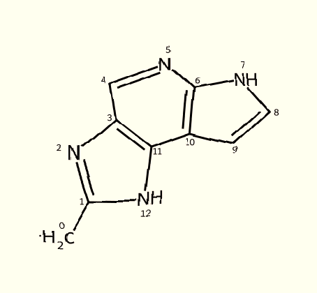 [CH2]c1nc2cnc3[nH]ccc3c2[nH]1